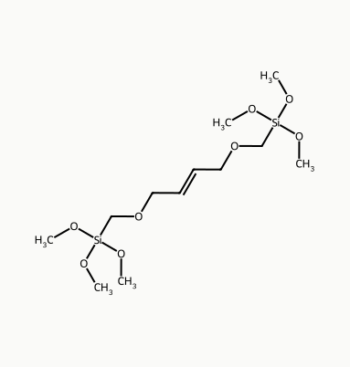 CO[Si](COCC=CCOC[Si](OC)(OC)OC)(OC)OC